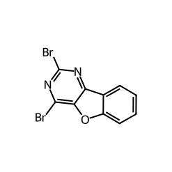 Brc1nc(Br)c2oc3ccccc3c2n1